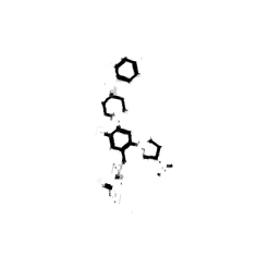 CN(C)[C@@H]1CCN(c2cc(N3CCC(Oc4ccccc4)CC3)c(F)cc2C=NNC(N)=S)C1